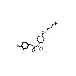 CN(C(=O)Oc1ccc(F)c(F)c1)C1CCC(OCCCCBr)CC1